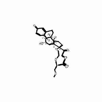 COCCOCO[C@]1(C(=O)COC(C)=O)CC[C@H]2[C@@H]3CCC4=CC(=O)C=C[C@]4(C)[C@@]3(Cl)[C@@H](O)C[C@@]21C